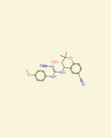 COc1ccc(NC(=NC#N)N[C@@H]2c3cc(C#N)ccc3OC(C)(C)[C@H]2O)cc1